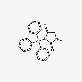 CN1CC(=O)N([Si](c2ccccc2)(c2ccccc2)c2ccccc2)C1=O